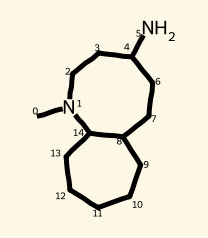 CN1CCC(N)CCC2CCCCCC21